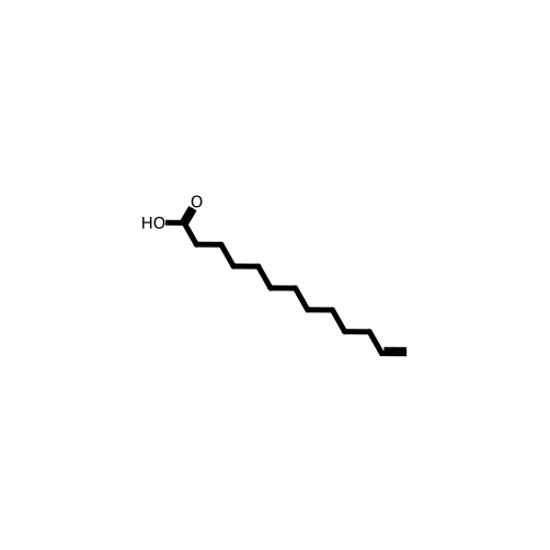 C=CCCCCCCCCCCC(=O)O